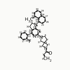 C=CC(=O)N1CC2(CCN(c3nc(-c4ccccc4F)c4c(n3)N(c3cccc5cccc(C)c35)CC4)C2)C1